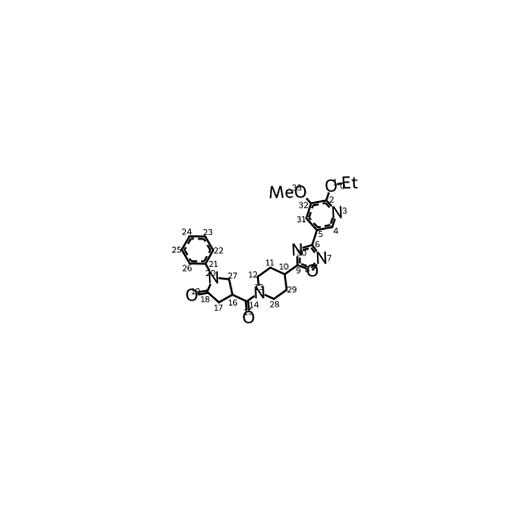 CCOc1ncc(-c2noc(C3CCN(C(=O)C4CC(=O)N(c5ccccc5)C4)CC3)n2)cc1OC